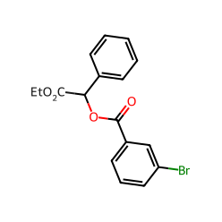 CCOC(=O)C(OC(=O)c1cccc(Br)c1)c1ccccc1